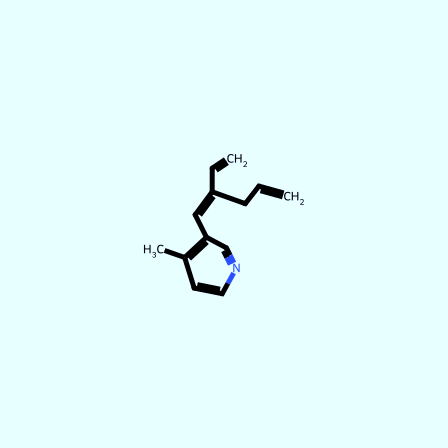 C=CC/C(C=C)=C\c1cnccc1C